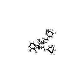 Cc1cccc(C(NCCc2cccnc2)C(=O)NCCc2cccnc2)c1C